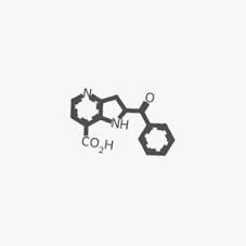 O=C(O)c1ccnc2c1NC(C(=O)c1ccccc1)C2